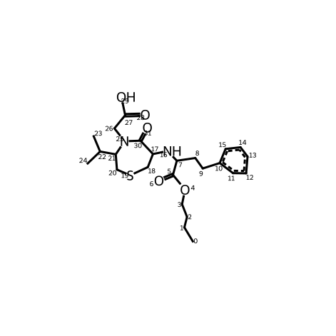 CCCCOC(=O)C(CCc1ccccc1)NC1CSCC(C(C)C)N(CC(=O)O)C1=O